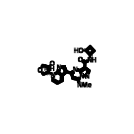 CNc1cc(-c2cnc3n([C@H]4COC[C@@H]4O)cccc2-3)nc2c(C(=O)N[C@@H]3CC[C@@H]3O)cnn12